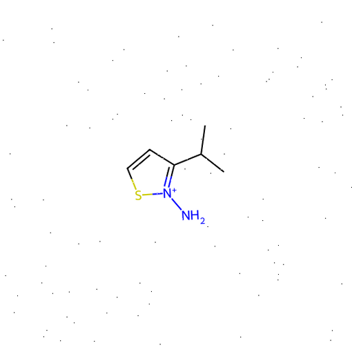 CC(C)c1ccs[n+]1N